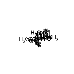 C=CCOC(=O)c1ccc(NC(=O)c2ccc(NC(=O)c3ccc(NC(C)=O)c(OCc4ccccc4)c3)c(OCC(C)C)c2)c(OCc2ccc(F)cc2)c1